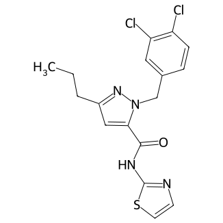 CCCc1cc(C(=O)Nc2nccs2)n(Cc2ccc(Cl)c(Cl)c2)n1